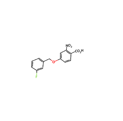 O=C(O)c1ccc(OCc2cccc(F)c2)cc1[N+](=O)[O-]